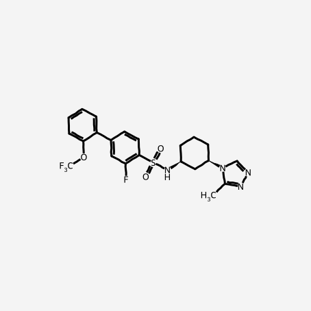 Cc1nncn1[C@@H]1CCC[C@H](NS(=O)(=O)c2ccc(-c3ccccc3OC(F)(F)F)cc2F)C1